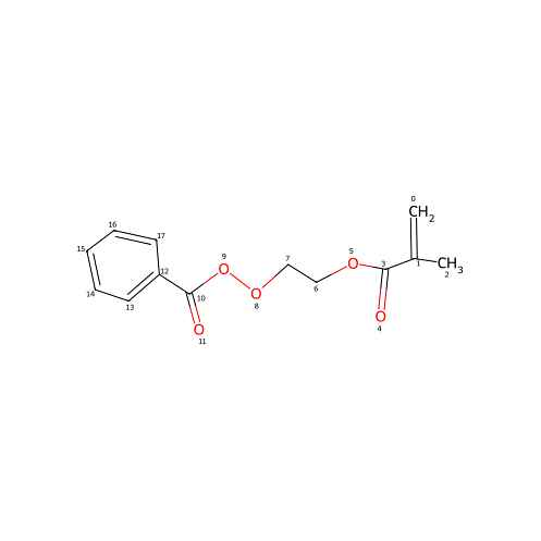 C=C(C)C(=O)OCCOOC(=O)c1ccccc1